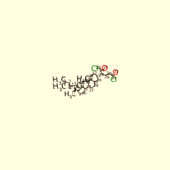 CC(C)CCC[C@@H](C)[C@H]1CCC2C3CCC4C[C@@H](C(CCC(=O)Cl)C(=O)Cl)CC[C@]4(C)C3CC[C@@]21C